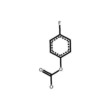 [O]C(=O)Oc1ccc(F)cc1